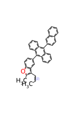 C/C=C\c1c(C)oc2ccc(-c3c4ccccc4c(-c4ccc5ccccc5c4)c4ccccc34)cc12